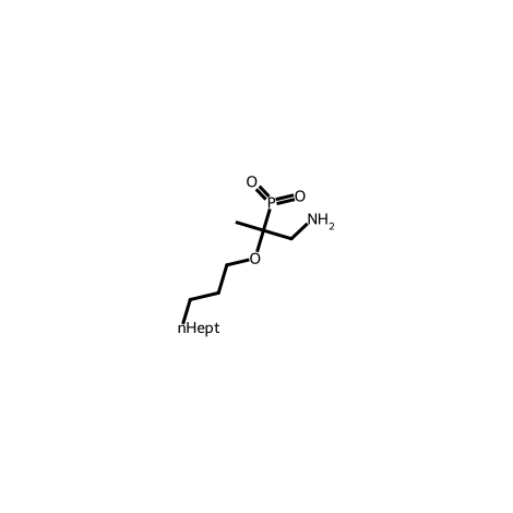 CCCCCCCCCCOC(C)(CN)P(=O)=O